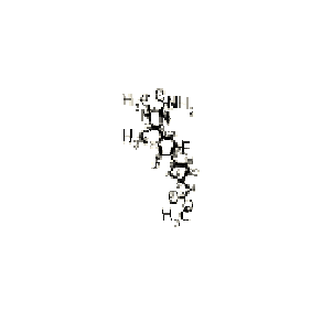 COC(=O)Cc1ccc(-c2c(F)cc(-c3nc(C(N)=O)c(C)nc3C)cc2F)cc1